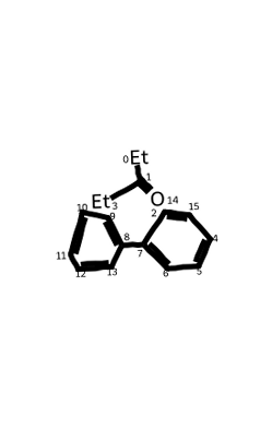 CCC(=O)CC.c1ccc(-c2ccccc2)cc1